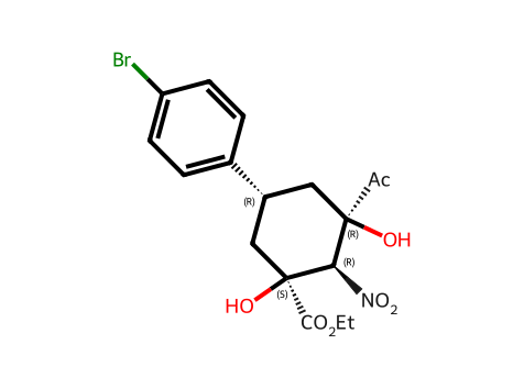 CCOC(=O)[C@]1(O)C[C@H](c2ccc(Br)cc2)C[C@](O)(C(C)=O)[C@H]1[N+](=O)[O-]